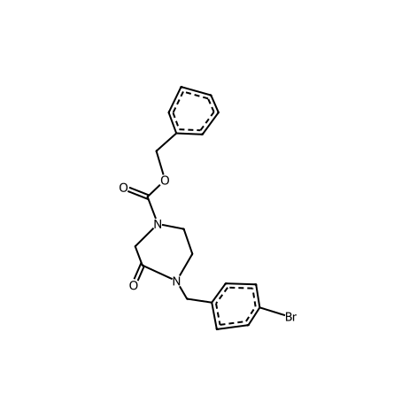 O=C1CN(C(=O)OCc2ccccc2)CCN1Cc1ccc(Br)cc1